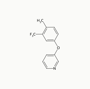 Cc1ccc(Oc2cccnc2)cc1C(F)(F)F